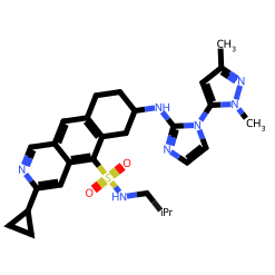 Cc1cc(-n2ccnc2NC2CCc3cc4cnc(C5CC5)cc4c(S(=O)(=O)NCC(C)C)c3C2)n(C)n1